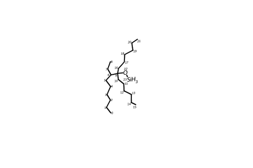 CCCCCCC(CC)C(CCCCCC)(CCCCCC)O[SiH3]